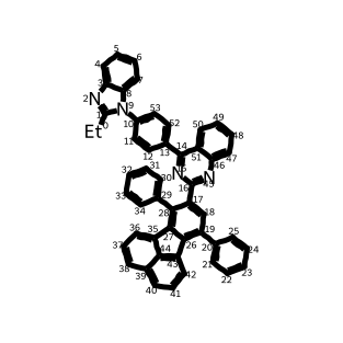 CCc1nc2ccccc2n1-c1ccc(-c2nc(-c3cc(-c4ccccc4)c4c(c3-c3ccccc3)-c3cccc5cccc-4c35)nc3ccccc23)cc1